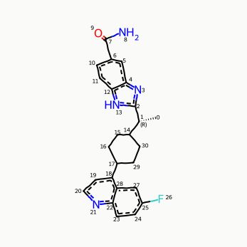 C[C@@H](c1nc2cc(C(N)=O)ccc2[nH]1)C1CCC(c2ccnc3ccc(F)cc23)CC1